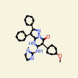 COc1ccc(-c2c(Nc3nccn3C)[nH]c3c(-c4ccccc4)c(-c4ccccc4)nn3c2=O)cc1